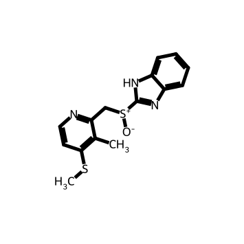 CSc1ccnc(C[S+]([O-])c2nc3ccccc3[nH]2)c1C